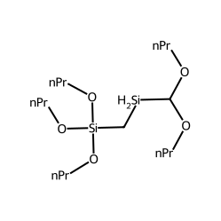 CCCOC(OCCC)[SiH2]C[Si](OCCC)(OCCC)OCCC